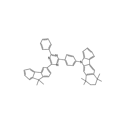 CC1(C)CCC(C)(C)c2cc3c(cc21)c1ccccc1n3-c1ccc(-c2nc(-c3ccccc3)nc(-c3ccc4c(c3)-c3ccccc3C4(C)C)n2)cc1